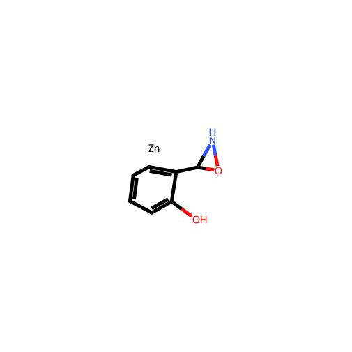 Oc1ccccc1C1NO1.[Zn]